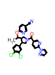 CC(Oc1ccc(C#N)cn1)C1CN(C(=O)c2ccc(-n3cccn3)nc2)CC1c1ccc(Cl)c(Cl)c1